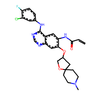 C=CC(=O)Nc1cc2c(Nc3ccc(F)c(Cl)c3)ncnc2cc1OC1COC2(CCN(C)CC2)C1